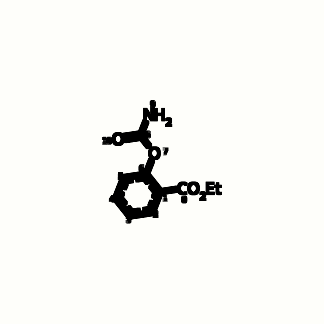 CCOC(=O)c1ccccc1OC(N)=O